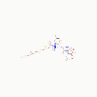 COCCOCCOCCSCC(=O)N[C@@H](CC(C)C)C(=O)NCC(=O)N[C@@H](CC(C)C)C(=O)[C@@]1(C)CO1